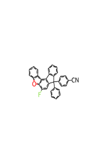 N#Cc1ccc(C2(c3ccccc3)c3ccccc3-c3c2cc(F)c2oc4ccccc4c32)cc1